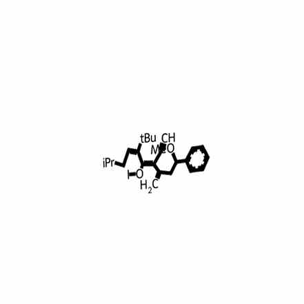 C#C/C(C(=C)CC(OC)c1ccccc1)=C(OI)\C(=C/CC(C)C)C(C)(C)C